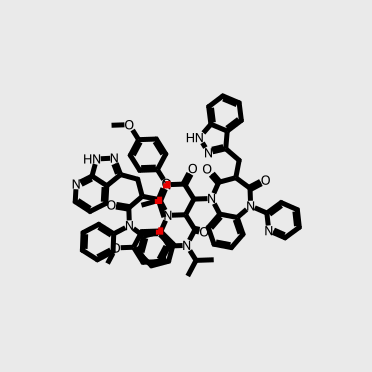 COc1ccc(N(C(=O)C(C(C(=O)N(c2ccc(OC)cc2)C(C)C)N2C(=O)C(Cc3n[nH]c4ccccc34)C(=O)N(c3ccccn3)c3ccccc32)N2C(=O)C(Cc3n[nH]c4ncccc34)C(=O)N(c3ccccc3)c3ccccc32)C(C)C)cc1